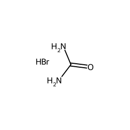 Br.NC(N)=O